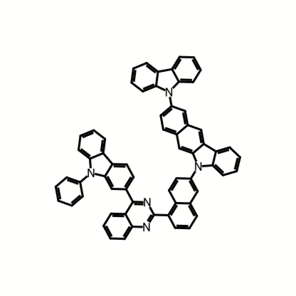 c1ccc(-n2c3ccccc3c3ccc(-c4nc(-c5cccc6cc(-n7c8ccccc8c8cc9cc(-n%10c%11ccccc%11c%11ccccc%11%10)ccc9cc87)ccc56)nc5ccccc45)cc32)cc1